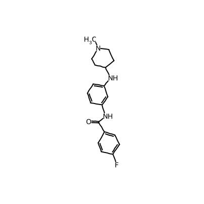 CN1CCC(Nc2cccc(NC(=O)c3ccc(F)cc3)c2)CC1